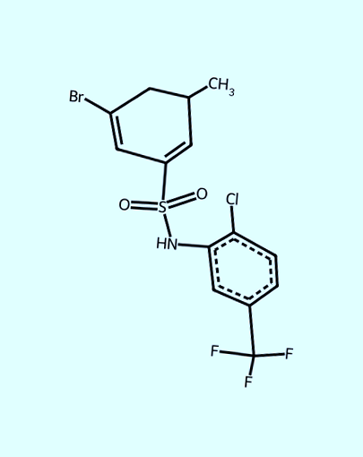 CC1C=C(S(=O)(=O)Nc2cc(C(F)(F)F)ccc2Cl)C=C(Br)C1